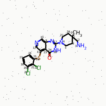 CC1(CN)CCN(c2nc3cncc(Sc4cccc(Cl)c4Cl)c3c(=O)[nH]2)CC1